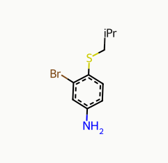 CC(C)CSc1ccc(N)cc1Br